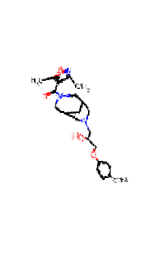 Cc1noc(C)c1C(=O)N1CC2CC(CN(CC(O)COc3ccc(C#N)cc3)C2)C1